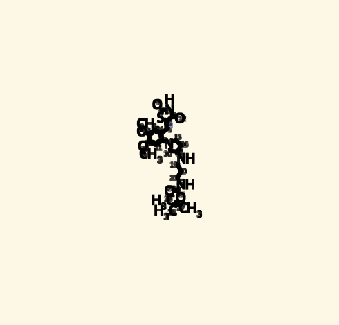 COc1cc(/C=C2\SC(=O)NC2=O)c(N2CC[C@@H](NCCCNC(=O)OC(C)(C)C)C2)cc1OC